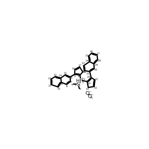 C[Si](C)=[Hf+2]([C]1=C(c2ccc3ccccc3c2)C=CC1)[C]1=C(c2ccc3ccccc3c2)C=CC1.[Cl-].[Cl-]